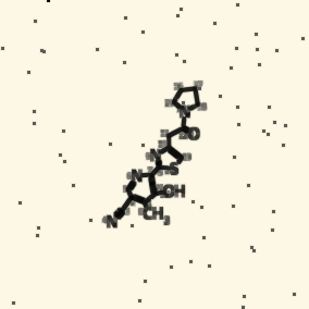 Cc1c(C#N)cnc(-c2nc(CC(=O)N3CCCC3)cs2)c1O